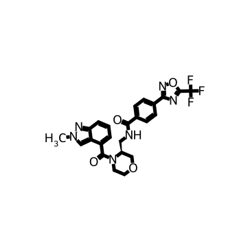 Cn1cc2c(C(=O)N3CCOC[C@@H]3CNC(=O)c3ccc(-c4noc(C(F)(F)F)n4)cc3)cccc2n1